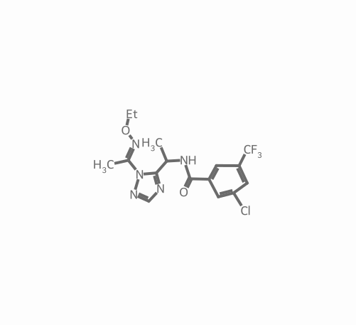 CCON=C(C)n1ncnc1C(C)NC(=O)c1cc(Cl)cc(C(F)(F)F)c1